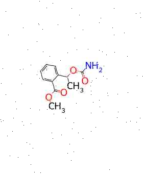 COC(=O)c1ccccc1C(C)OC(N)=O